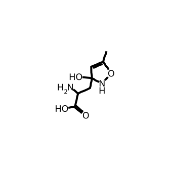 CC1=CC(O)(CC(N)C(=O)O)NO1